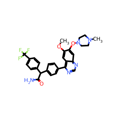 COc1cc2c(-c3ccc(C(C(N)=O)c4ccc(C(F)(F)F)cc4)cc3)ncnc2cc1ON1CCN(C)CC1